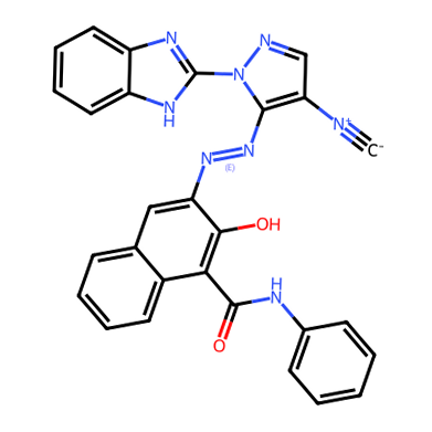 [C-]#[N+]c1cnn(-c2nc3ccccc3[nH]2)c1/N=N/c1cc2ccccc2c(C(=O)Nc2ccccc2)c1O